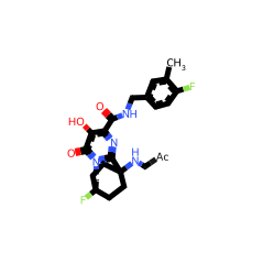 CC(=O)CNC12CCC(F)(CC1)Cn1c2nc(C(=O)NCc2ccc(F)c(C)c2)c(O)c1=O